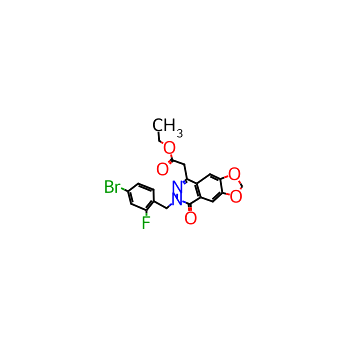 CCOC(=O)Cc1nn(Cc2ccc(Br)cc2F)c(=O)c2cc3c(cc12)OCO3